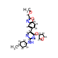 COCc1nc2cc(-c3cnc(N[C@H]4CC[C@@H](C)CC4)nc3O[C@@H]3CCOC3)ccc2o1